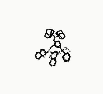 CC(C)(c1ccccc1)c1ccc(CP(C23CC4CC(CC(C4)C2)C3)C23CC4CC(CC(C4)C2)C3)c(CP(c2ccc3ccccc3n2)c2ccc3ccccc3n2)c1